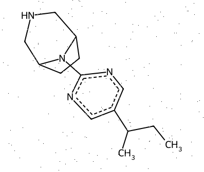 CCC(C)c1cnc(N2C3CCC2CNC3)nc1